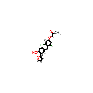 CC(=O)COc1cc(Cl)c(Cc2ccc(O)c(-c3ccco3)c2)c(Cl)c1